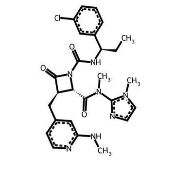 CC[C@@H](NC(=O)N1C(=O)[C@H](Cc2ccnc(NC)c2)[C@H]1C(=O)N(C)c1nccn1C)c1cccc(Cl)c1